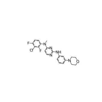 CN(c1ccnc(Nc2cccc(N3CCOCC3)c2)n1)c1ccc(F)c(Cl)c1F